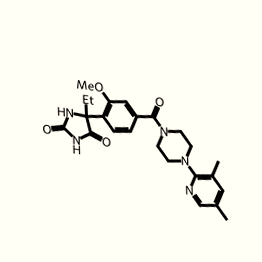 CCC1(c2ccc(C(=O)N3CCN(c4ncc(C)cc4C)CC3)cc2OC)NC(=O)NC1=O